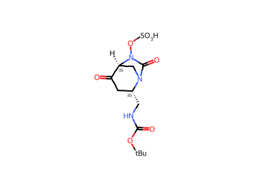 CC(C)(C)OC(=O)NC[C@@H]1CC(=O)[C@@H]2CN1C(=O)N2OS(=O)(=O)O